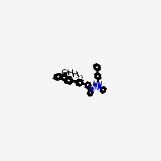 CC1(C)c2ccccc2-c2ccc(-c3ccc(-c4ccc5c(c4)c4ccccc4n5-c4nc(-c5ccccc5)nc(-c5ccc(-c6ccccc6)cc5)n4)cc3)cc21